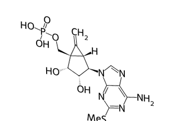 C=C1[C@@H]2[C@@H](n3cnc4c(N)nc(SC)nc43)[C@H](O)[C@H](O)[C@]12COP(=O)(O)O